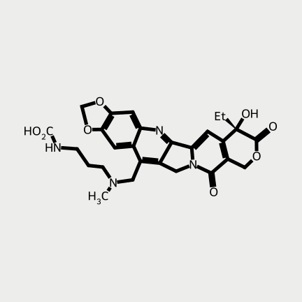 CC[C@@]1(O)C(=O)OCc2c1cc1n(c2=O)Cc2c-1nc1cc3c(cc1c2CN(C)CCCNC(=O)O)OCO3